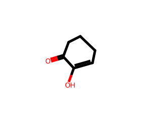 O=C1CCCC=C1O